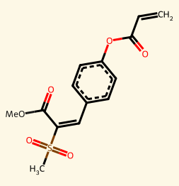 C=CC(=O)Oc1ccc(/C=C(\C(=O)OC)S(C)(=O)=O)cc1